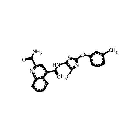 Cc1cccc(Oc2nc(C)c(NC(=O)c3cc(C(N)=O)nc4ccccc34)s2)c1